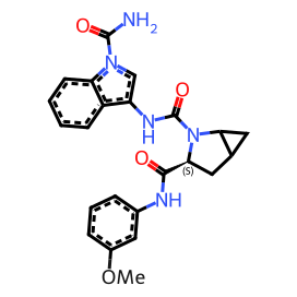 COc1cccc(NC(=O)[C@@H]2CC3CC3N2C(=O)Nc2cn(C(N)=O)c3ccccc23)c1